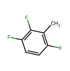 Cc1c(F)c[c]c(F)c1F